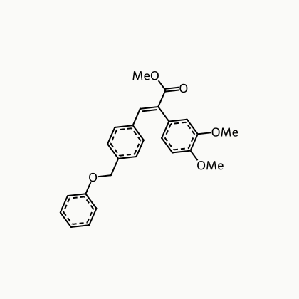 COC(=O)/C(=C/c1ccc(COc2ccccc2)cc1)c1ccc(OC)c(OC)c1